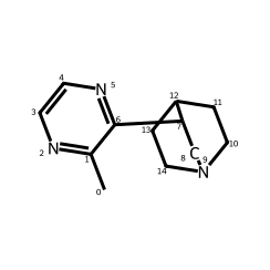 Cc1nccnc1C1CN2CCC1CC2